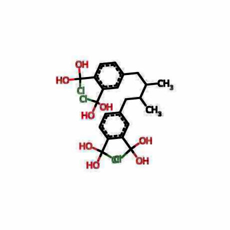 CC(Cc1ccc(C(O)(O)Cl)c(C(O)(O)Cl)c1)C(C)Cc1ccc(C(O)(O)Cl)c(C(O)(O)Cl)c1